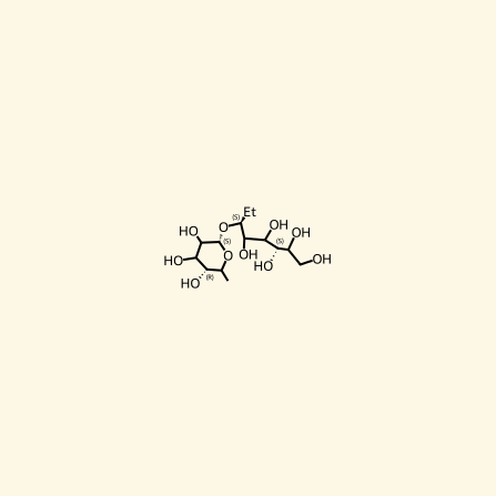 CC[C@H](O[C@@H]1OC(C)[C@H](O)C(O)C1O)C(O)C(O)[C@@H](O)C(O)CO